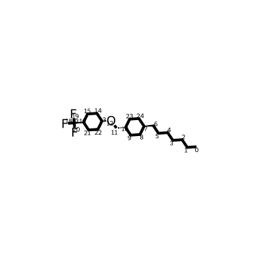 CCCCCCC[C@H]1CC[C@H](CO[C@H]2CC[C@H](C(F)(F)F)CC2)CC1